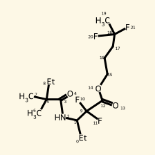 CCC(NC(=O)C(C)(C)CC)C(F)(F)C(=O)OCCCC(C)(F)F